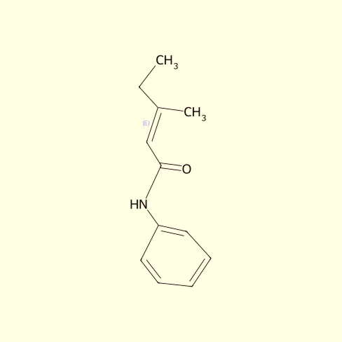 CC/C(C)=C/C(=O)Nc1ccccc1